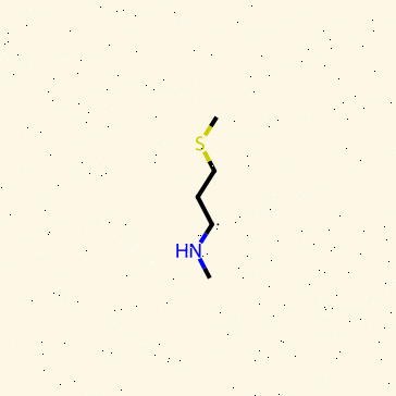 CN[CH]CCSC